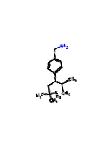 CC(C)C(CC(C)(C)C)c1ccc(CN)cc1